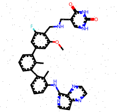 COc1cc(-c2cccc(-c3cccc(Nc4nccc5nccnc45)c3C)c2C)cc(F)c1CNCc1c[nH]c(=O)[nH]c1=O